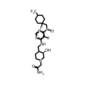 CCN(CC1(F)CCC(C(F)(F)F)CC1)c1ncnc(NCC2CCN(CC(N)=O)C[C@@H]2O)c1F